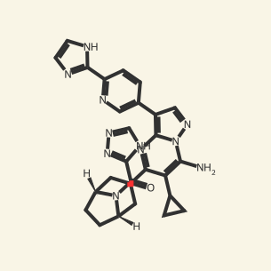 Nc1c(C2CC2)c(C2C[C@H]3CC[C@@H](C2)N3C(=O)c2nnc[nH]2)nc2c(-c3ccc(-c4ncc[nH]4)nc3)cnn12